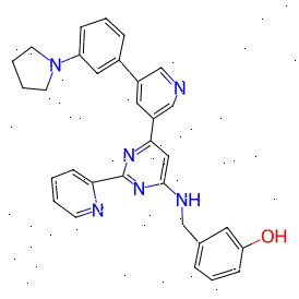 Oc1cccc(CNc2cc(-c3cncc(-c4cccc(N5CCCC5)c4)c3)nc(-c3ccccn3)n2)c1